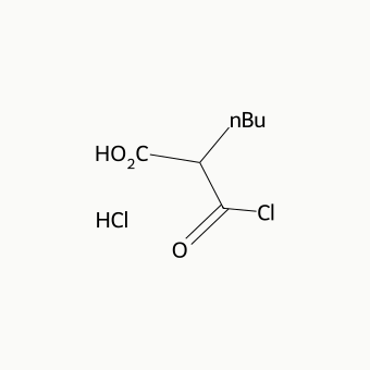 CCCCC(C(=O)O)C(=O)Cl.Cl